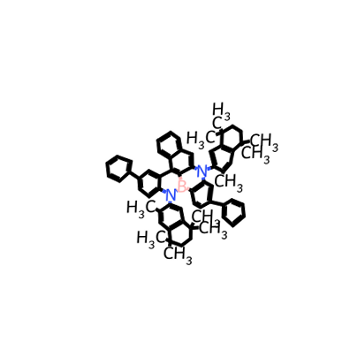 Cc1cc2c(cc1N1B3c4ccc(-c5ccccc5)cc4N(c4cc5c(cc4C)C(C)(C)CCC5(C)C)c4cc5ccccc5c(c43)-c3cc(-c4ccccc4)ccc31)C(C)(C)CCC2(C)C